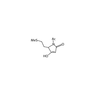 CSCCC1C(O)=CC(=O)N1C(C)=O